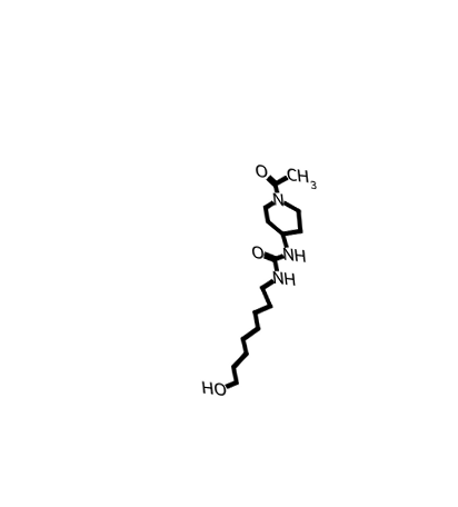 CC(=O)N1CCC(NC(=O)NCCCCCCCCO)CC1